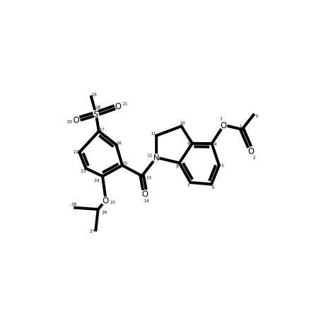 CC(=O)Oc1cccc2c1CCN2C(=O)c1cc(S(C)(=O)=O)ccc1OC(C)C